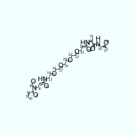 C/C=C\C(=O)N(C=O)CCC(=O)NCCOCCOCCOCCOCCC(=O)NC(C)C(=O)NCC(C)=O